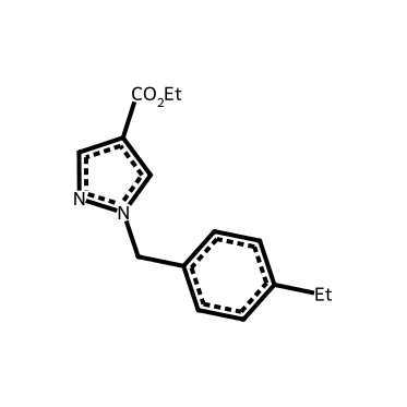 CCOC(=O)c1cnn(Cc2ccc(CC)cc2)c1